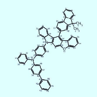 CC1(C)c2ccccc2-c2ccc(-c3c4c(cc5c3c3ccccc3n5-c3ccc(N(c5ccccc5)c5ccc(-c6ccccc6)cc5)cc3)oc3ccccc34)cc21